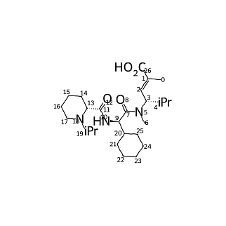 C/C(=C\[C@H](C(C)C)N(C)C(=O)[C@H](NC(=O)[C@H]1CCCCN1C(C)C)C1CCCCC1)C(=O)O